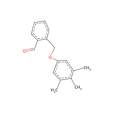 Cc1cc(OCc2ccccc2C=O)cc(C)c1C